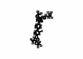 Cc1cc(OCC2(C(=O)OC(C)(C)C)CC2)ncc1-c1ccc(-c2nc(OC(C)C)n(COCC[Si](C)(C)C)n2)cn1